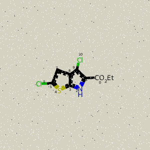 CCOC(=O)c1[nH]c2sc(Cl)cc2c1Cl